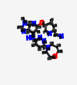 Cc1cc(C#N)ncc1Oc1cc(Nc2ccc(N3CCCOCC3)nn2)c2ncn(C)c2n1